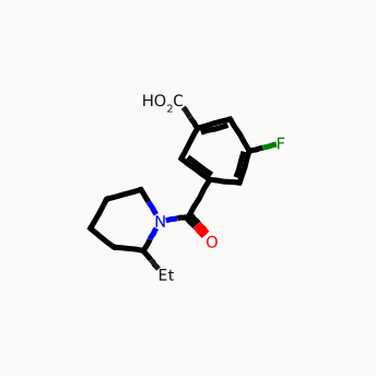 CCC1CCCCN1C(=O)c1cc(F)cc(C(=O)O)c1